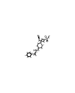 CCS(=O)(=O)N1CC(CC#N)(N2CCC(CN[C@@H]3C[C@H]3c3ccccc3)CC2)C1